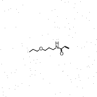 [CH2]CCOCCCNC(=O)C=C